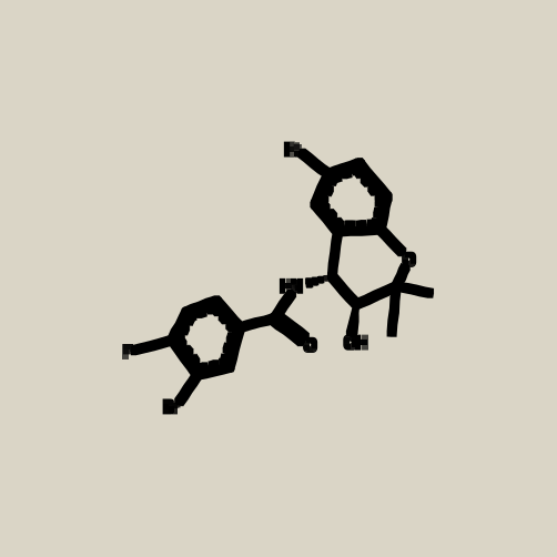 CCc1ccc2c(c1)[C@@H](NC(=O)c1ccc(F)c(Br)c1)[C@H](O)C(C)(C)O2